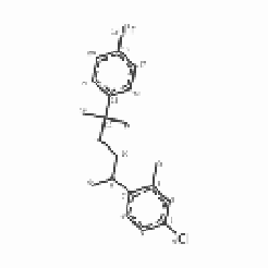 Cc1cc(Cl)ccc1C(C)CCC(C)(C)c1ccc(C(C)C)cc1